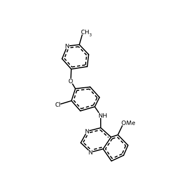 COc1cccc2ncnc(Nc3ccc(Oc4ccc(C)nc4)c(Cl)c3)c12